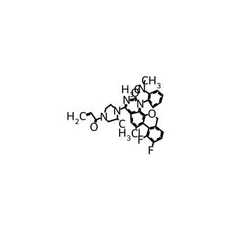 C=CC(=O)N1CCN(c2nc(=O)n(-c3ccccc3N(C)C)c3c4c(c(Cl)cc23)-c2c(ccc(F)c2F)CO4)[C@@H](C)C1